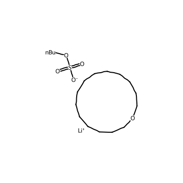 C1CCCCCCCOCCCCCC1.CCCCOS(=O)(=O)[O-].[Li+]